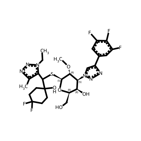 CCn1nnc(C)c1C(S[C@@H]1O[C@H](CO)[C@H](O)[C@H](n2cc(-c3cc(F)c(F)c(F)c3)nn2)[C@H]1OC)C1(O)CCC(F)(F)CC1